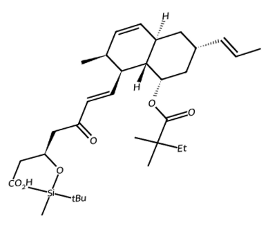 C/C=C/[C@@H]1C[C@H](OC(=O)C(C)(C)CC)[C@@H]2[C@@H](C=CC(=O)C[C@H](CC(=O)O)O[Si](C)(C)C(C)(C)C)[C@@H](C)C=C[C@H]2C1